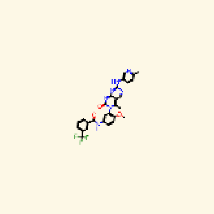 COc1ccc(NC(=O)c2cccc(C(F)(F)F)c2)cc1-n1c(C)c2cnc(Nc3ccc(C)nc3)nc2nc1=O